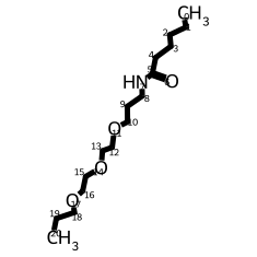 CCCCCC(=O)NCCCOCCOCCOCCC